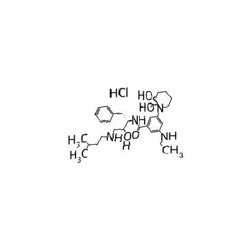 CCNc1cc(C(=O)N[C@@H](Cc2ccccc2)[C@@H](O)CNCCC(C)C)cc(N2CCCCS2(O)O)c1.Cl